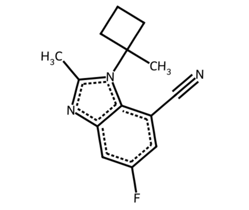 Cc1nc2cc(F)cc(C#N)c2n1C1(C)CCC1